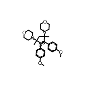 COc1ccc(C(=O)C(C)(CC(C)(C(=O)c2ccc(OC)cc2)N2CCOCC2)N2CCOCC2)cc1